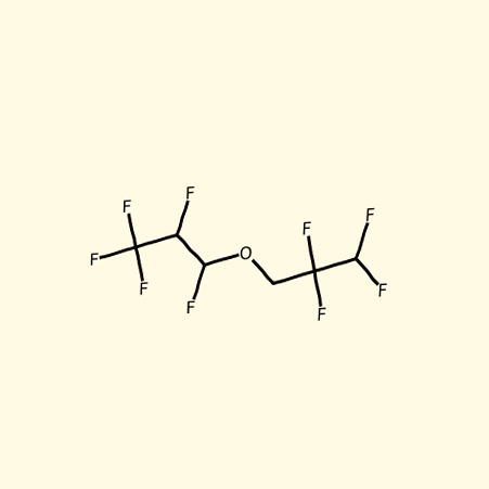 FC(OCC(F)(F)C(F)F)C(F)C(F)(F)F